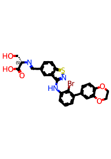 O=C(O)[C@H](CO)N=Cc1ccc2snc(Nc3cccc(-c4ccc5c(c4)OCCO5)c3Br)c2c1